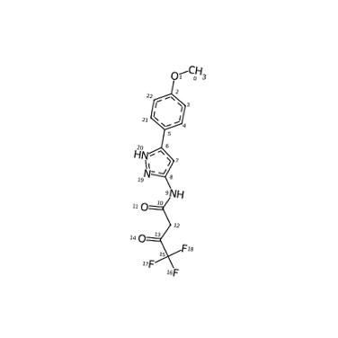 COc1ccc(-c2cc(NC(=O)CC(=O)C(F)(F)F)n[nH]2)cc1